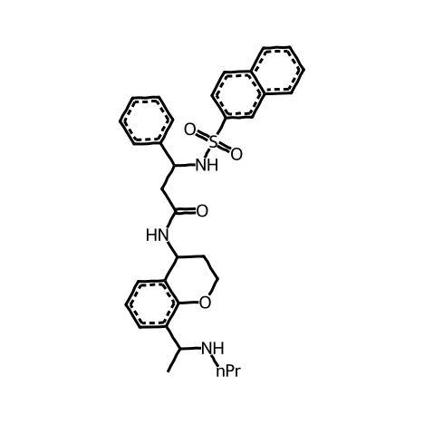 CCCNC(C)c1cccc2c1OCCC2NC(=O)CC(NS(=O)(=O)c1ccc2ccccc2c1)c1ccccc1